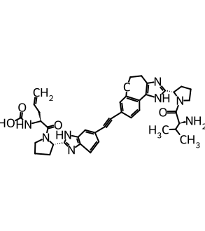 C=CC[C@H](NC(=O)O)C(=O)N1CCC[C@H]1c1nc2ccc(C#Cc3ccc4c(c3)CCCc3nc([C@@H]5CCCN5C(=O)[C@@H](N)C(C)C)[nH]c3-4)cc2[nH]1